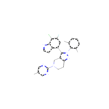 CCc1cccc(CC)c1-n1nc2c(c1-c1cc(F)c(Cl)c3[nH]ccc13)CN(c1ncc(C(F)(F)F)cn1)CC2